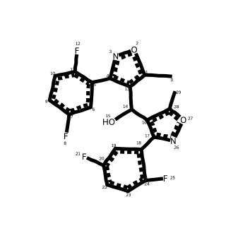 Cc1onc(-c2cc(F)ccc2F)c1C(O)c1c(-c2cc(F)ccc2F)noc1C